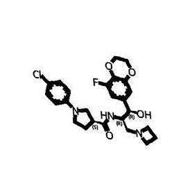 O=C(N[C@H](CN1CCC1)[C@H](O)c1cc(F)c2c(c1)OCCO2)[C@H]1CCN(c2ccc(Cl)cc2)C1